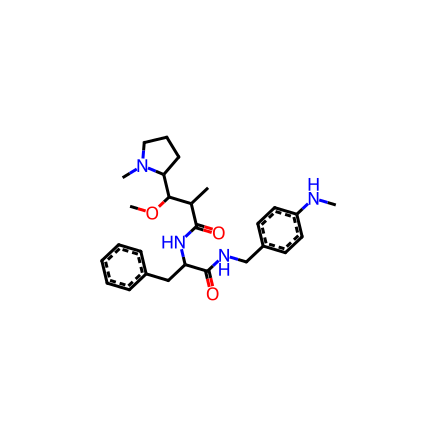 CNc1ccc(CNC(=O)C(Cc2ccccc2)NC(=O)C(C)C(OC)C2CCCN2C)cc1